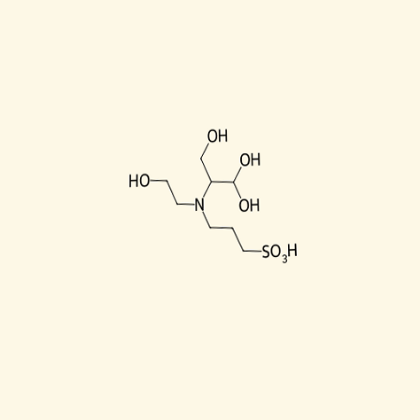 O=S(=O)(O)CCCN(CCO)C(CO)C(O)O